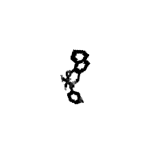 I[B-]1(I)Oc2c(ccc3ccccc23)C=[N+]1c1cccnc1